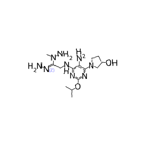 CC(C)Oc1nc(NC/C(=N/N)N(C)N)c(N)c(N2CCC(O)C2)n1